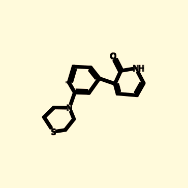 O=c1[nH]cccc1-c1cc[c]c(N2CCSCC2)c1